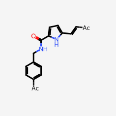 CC(=O)/C=C/c1ccc(C(=O)NCc2ccc(C(C)=O)cc2)[nH]1